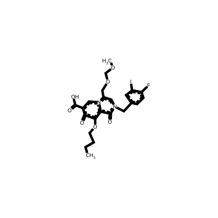 CCCCOc1c(=O)c(C(=O)O)cn2c(COCOC)cn(Cc3ccc(F)c(I)c3)c(=O)c12